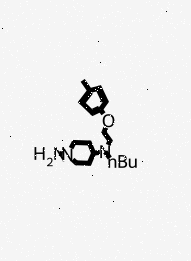 CCCCN(CCOc1ccc(C)cc1)C1CCN(N)CC1